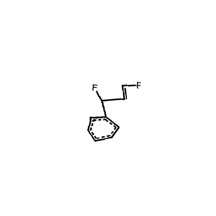 FC=CC(F)c1ccccc1